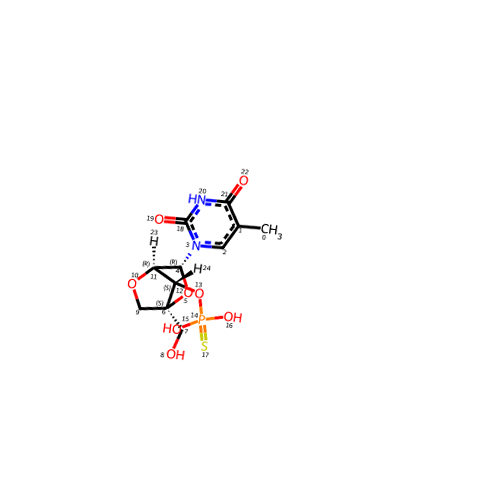 Cc1cn([C@@H]2O[C@@]3(CO)CO[C@@H]2[C@@H]3OP(O)(O)=S)c(=O)[nH]c1=O